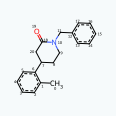 Cc1ccccc1C1CCN(Cc2ccccc2)C(=O)C1